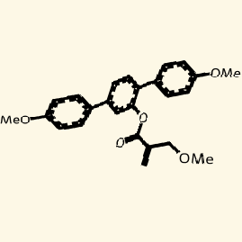 C=C(COC)C(=O)Oc1cc(-c2ccc(OC)cc2)ccc1-c1ccc(OC)cc1